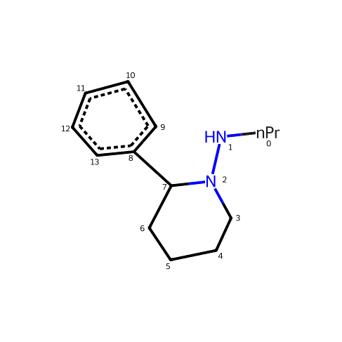 CCCNN1CCCCC1c1ccccc1